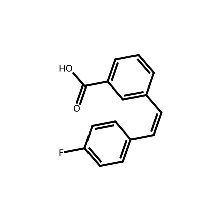 O=C(O)c1cccc(/C=C\c2ccc(F)cc2)c1